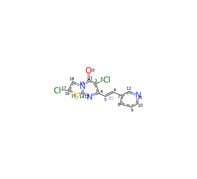 O=c1c(Cl)c(/C=C/c2cccnc2)nc2sc(Cl)cn12